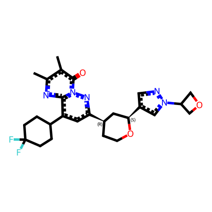 Cc1nc2c(C3CCC(F)(F)CC3)cc([C@@H]3CCO[C@H](c4cnn(C5COC5)c4)C3)nn2c(=O)c1C